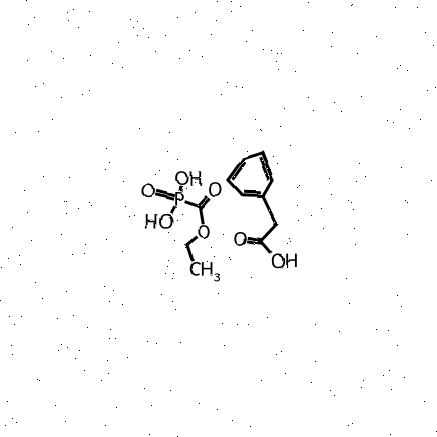 CCOC(=O)P(=O)(O)O.O=C(O)Cc1ccccc1